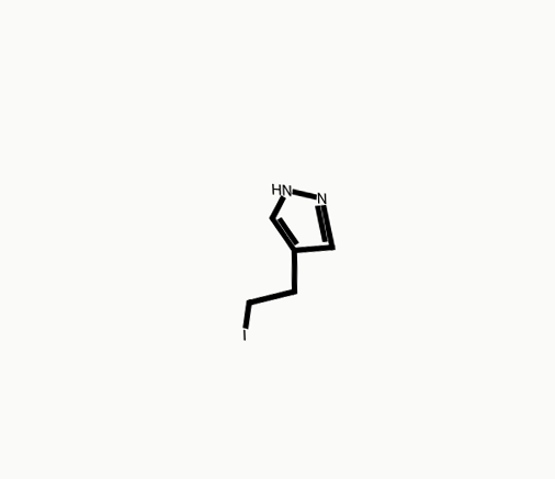 ICCc1cn[nH]c1